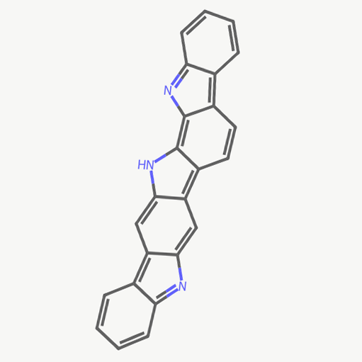 c1ccc2c(c1)=Nc1cc3c(cc1=2)[nH]c1c2c(ccc13)=c1ccccc1=N2